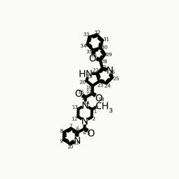 CC1CN(C(=O)c2ccccn2)CCN1C(=O)C(=O)C1CNc2c1ccnc2-c1cc2ccccc2o1